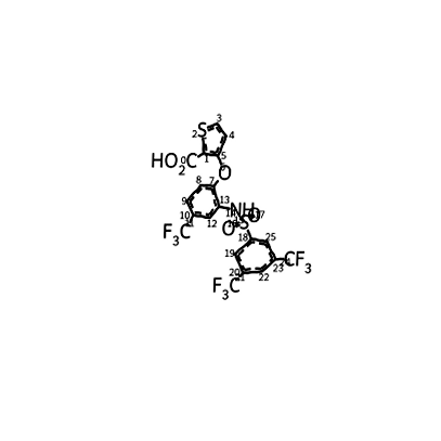 O=C(O)c1sccc1Oc1ccc(C(F)(F)F)cc1NS(=O)(=O)c1cc(C(F)(F)F)cc(C(F)(F)F)c1